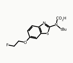 CC(C)(C)N(C(=O)O)c1nc2ccc(OCCF)cc2s1